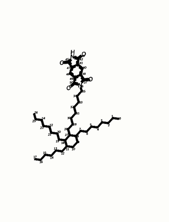 CCCCCCCCC1CCC(CCCCCC)C(CCCCCCCC)C1CCCCCCCCn1c(=O)c2cc3c(=O)[nH]c(=O)c3cc2c1=O